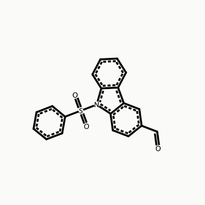 O=Cc1ccc2c(c1)c1ccccc1n2S(=O)(=O)c1ccccc1